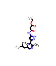 CCOC(=O)CC(=O)Nc1cc(-c2nc(CC(C)C)cnc2C)n[nH]1